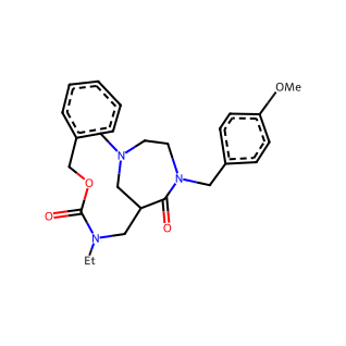 CCN(CC1CN(C)CCN(Cc2ccc(OC)cc2)C1=O)C(=O)OCc1ccccc1